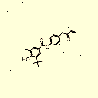 C=CC(=O)Cc1ccc(OC(=O)c2cc(C)c(O)c(C(C)(C)C)c2)cc1